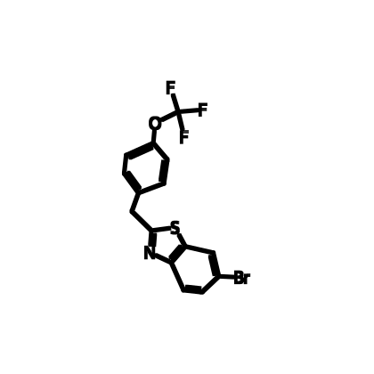 FC(F)(F)Oc1ccc(Cc2nc3ccc(Br)cc3s2)cc1